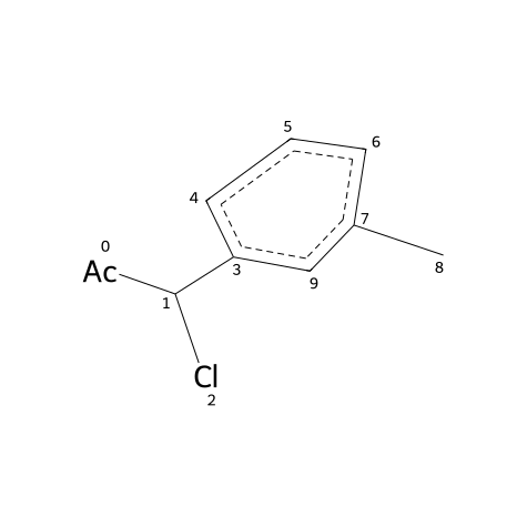 CC(=O)C(Cl)c1cccc(C)c1